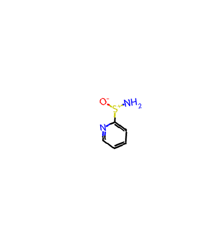 N[S+]([O-])c1ccccn1